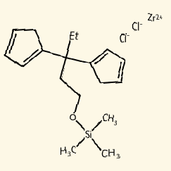 CCC(CCO[Si](C)(C)C)(C1=CC=CC1)C1=CC=CC1.[Cl-].[Cl-].[Zr+2]